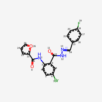 O=C(Nc1ccc(Br)cc1C(=O)N/N=C/c1ccc(F)cc1)c1ccco1